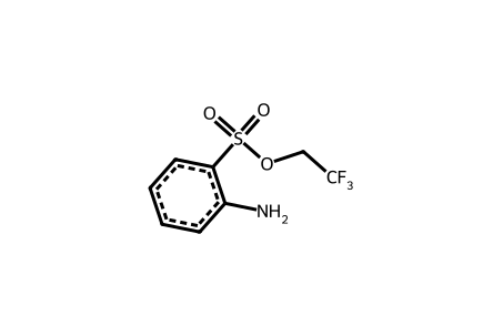 Nc1ccccc1S(=O)(=O)OCC(F)(F)F